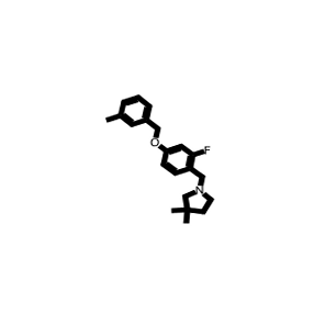 Cc1cccc(COc2ccc(CN3CCC(C)(C)C3)c(F)c2)c1